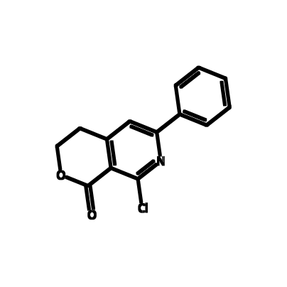 O=C1OCCc2cc(-c3ccccc3)nc(Cl)c21